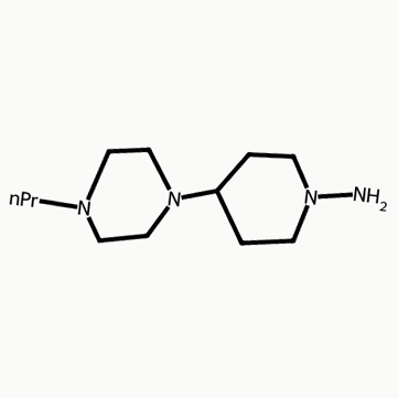 CCCN1CCN(C2CCN(N)CC2)CC1